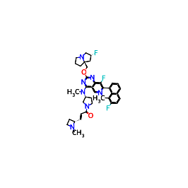 Cc1c(F)ccc2cccc(-c3ncc4c(N(C)[C@@H]5CCN(C(=O)/C=C/[C@H]6CCN6C)C5)nc(OC[C@@]56CCCN5C[C@H](F)C6)nc4c3F)c12